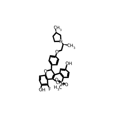 CC1=C(c2cc(O)ccc2S(C)(=O)=O)C(c2ccc(OC[C@H](C)N3CC[C@@H](C)C3)cc2)Oc2ccc(O)c(F)c21